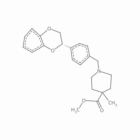 COC(=O)C1(C)CCN(Cc2ccc([C@H]3COc4ccccc4O3)cc2)CC1